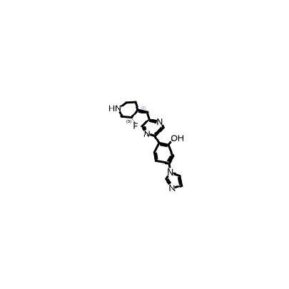 Oc1cc(-n2ccnc2)ccc1-c1cnc(/C=C2/CCNC[C@H]2F)cn1